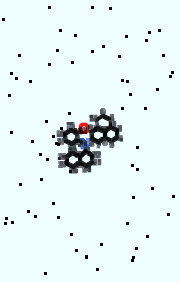 C1=Cc2cccc3cc4c(c(c23)C1)Oc1ccccc1N4c1cccc2ccccc12